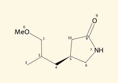 COCC(C)C[C@@H]1CNC(=O)C1